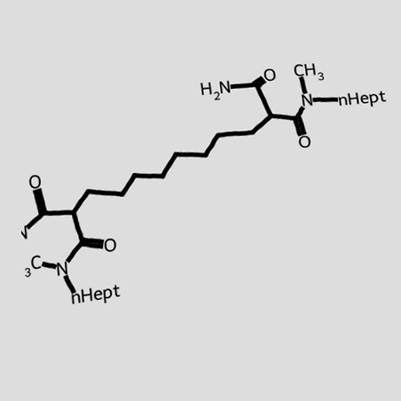 CCCCCCCN(C)C(=O)C(CCCCCCCCC(C(N)=O)C(=O)N(C)CCCCCCC)C(N)=O